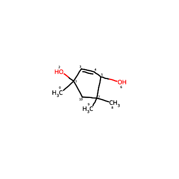 CC1(O)C=CC(O)C(C)(C)C1